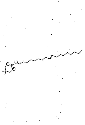 CCCCCCCCC=CCCCCCCCCOP1OCC(C)(C)CO1